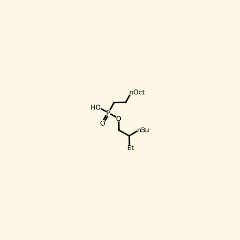 CCCCCCCCCCP(=O)(O)OCC(CC)CCCC